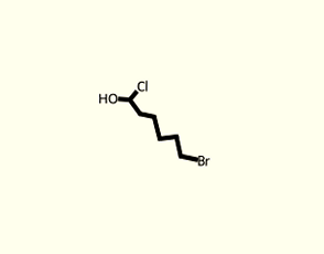 OC(Cl)CCCCCBr